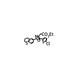 CCOC(=O)Cc1nc(-c2ccc3c(c2)CCCS3)oc1-c1ccc(Cl)s1